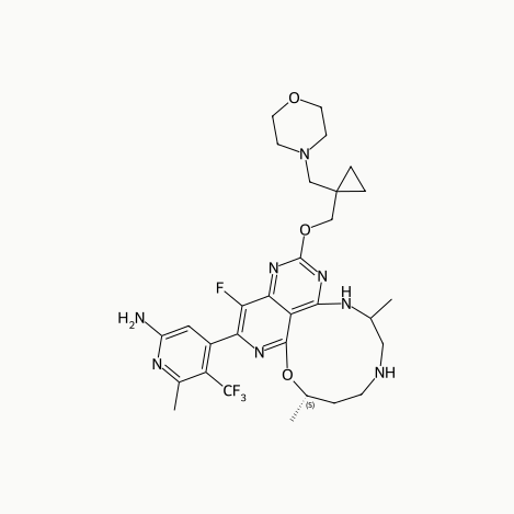 Cc1nc(N)cc(-c2nc3c4c(nc(OCC5(CN6CCOCC6)CC5)nc4c2F)NC(C)CNCC[C@H](C)O3)c1C(F)(F)F